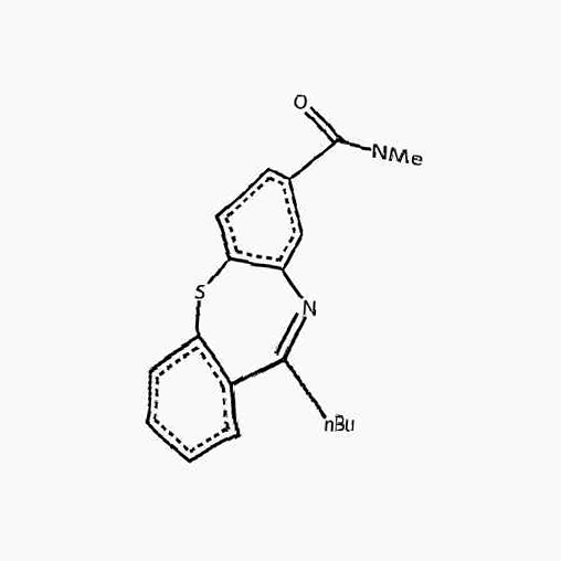 CCCCC1=Nc2cc(C(=O)NC)ccc2Sc2ccccc21